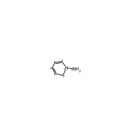 NN1[C]C=CC=C1